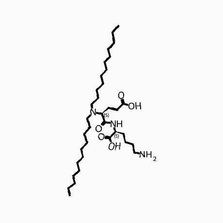 CCCCCCCCCCCCN(CCCCCCCCCCCC)[C@@H](CCC(=O)O)C(=O)N[C@@H](CCCCN)C(=O)O